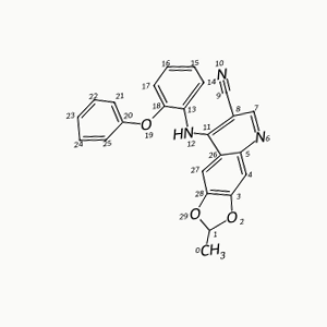 CC1Oc2cc3ncc(C#N)c(Nc4ccccc4Oc4ccccc4)c3cc2O1